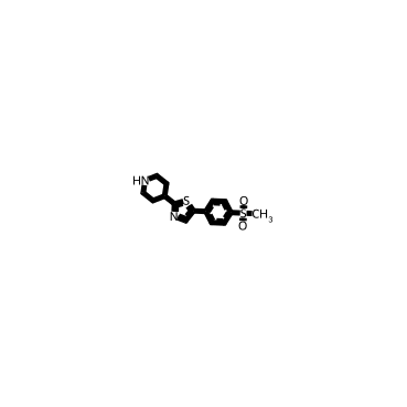 CS(=O)(=O)c1ccc(-c2cnc(C3CCNCC3)s2)cc1